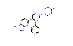 CNc1ccc(-c2nc(N3CCC(N)CC3)ncc2-c2ccc3c(cnn3C)c2)cc1